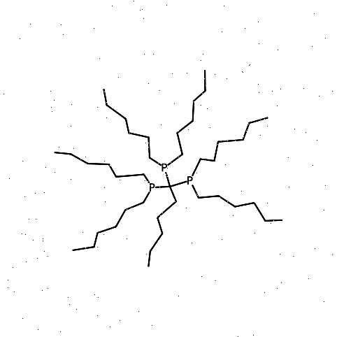 CCCCCCP(CCCCCC)C(CCCCC)(P(CCCCCC)CCCCCC)P(CCCCCC)CCCCCC